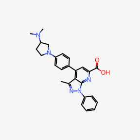 Cc1nn(-c2ccccc2)c2nc(C(=O)O)cc(-c3ccc(N4CCC(N(C)C)C4)cc3)c12